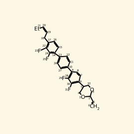 C=CC1OCC(c2ccc(-c3ccc(-c4ccc(C/C=C\CC)c(F)c4F)cc3)c(F)c2F)CO1